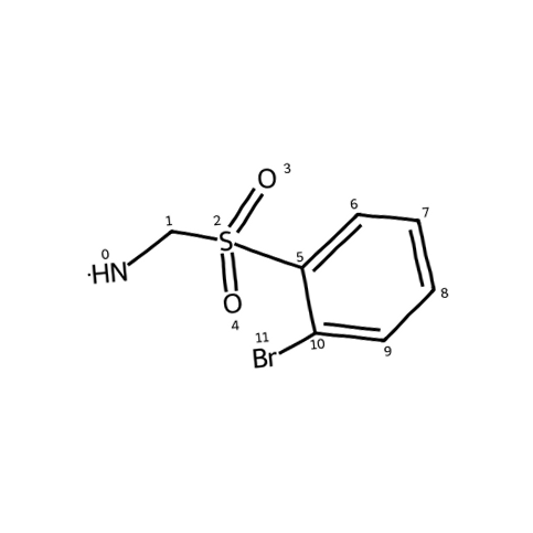 [NH]CS(=O)(=O)c1ccccc1Br